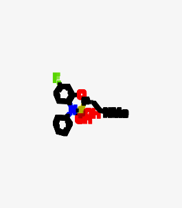 CNCC[C@H]1Oc2cc(F)ccc2N(c2ccccc2)S1(O)O